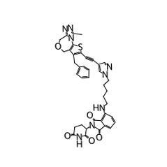 Cc1nnc2n1-c1sc(C#Cc3cnn(CCCCCNc4cccc5c4C(=O)N(C4CCC(=O)NC4=O)C5=O)c3)c(Cc3ccccc3)c1COC2